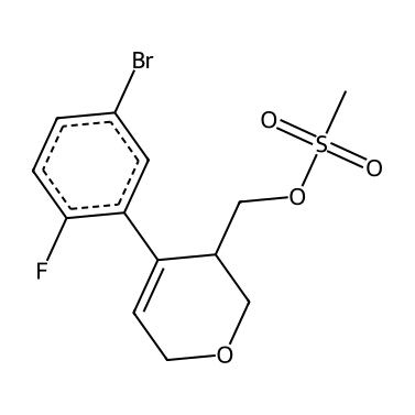 CS(=O)(=O)OCC1COCC=C1c1cc(Br)ccc1F